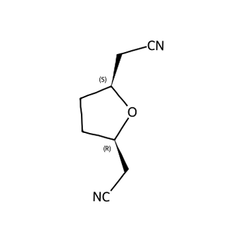 N#CC[C@@H]1CC[C@H](CC#N)O1